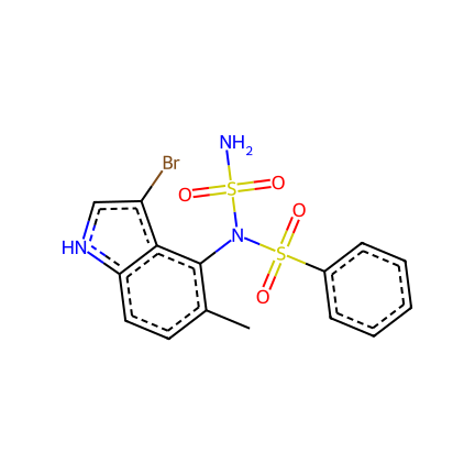 Cc1ccc2[nH]cc(Br)c2c1N(S(N)(=O)=O)S(=O)(=O)c1ccccc1